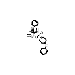 O=C(O)C1(NS(=O)(=O)N2CCC(Oc3ccccc3)CC2)C[C@H]1c1ccccc1